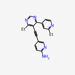 CCc1cc(-c2ncnc(CC)c2C#Cc2ccc(N)nc2)ccn1